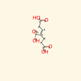 O=C(O)CC=C(CCC(=O)O)C(=O)O